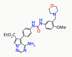 CCOC(=O)c1cn2ncnc(N)c2c1-c1ccc(NC(=O)Nc2ccc(OC)c(CN3CCOCC3)c2)cc1